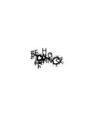 C[Si]1(C)CCCC(NC(=O)c2cc3c(C(F)(F)F)cc(C(F)(F)F)cc3[nH]2)CCC1